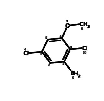 Bc1cc(Cl)cc(OC)c1Cl